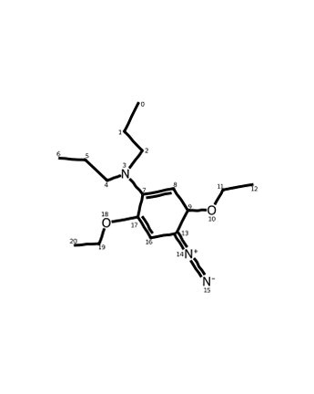 CCCN(CCC)C1=CC(OCC)C(=[N+]=[N-])C=C1OCC